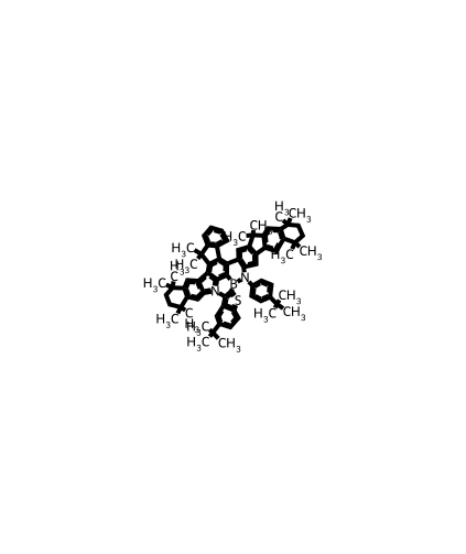 CC(C)(C)c1ccc(N2B3c4sc5ccc(C(C)(C)C)cc5c4-n4c5cc6c(cc5c5c7c(c(c3c54)-c3cc4c(cc32)-c2cc3c(cc2C4(C)C)C(C)(C)CCC3(C)C)-c2ccccc2C7(C)C)C(C)(C)CCC6(C)C)cc1